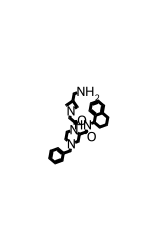 NCC1CN(CC(=O)N2CCN(Cc3ccccc3)CC2C(=O)NC2CCCc3ccccc32)C1